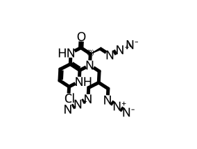 [N-]=[N+]=NCC(CN=[N+]=[N-])CN1C2=C(C=CC(Cl)N2)NC(=O)[C@H]1CN=[N+]=[N-]